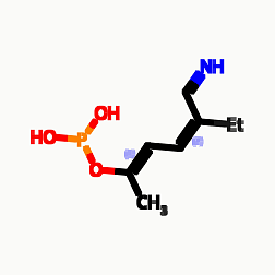 CC/C(C=N)=C/C=C(\C)OP(O)O